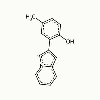 Cc1ccc(O)c(-c2[c]n3ccccc3c2)c1